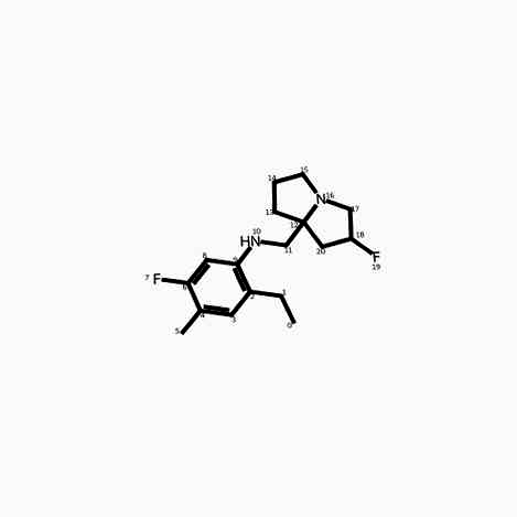 CCc1cc(C)c(F)cc1NCC12CCCN1CC(F)C2